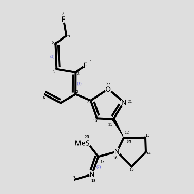 C=C/C(=C(F)\C=C/CF)c1cc([C@H]2CCCN2/C(=N/C)SC)no1